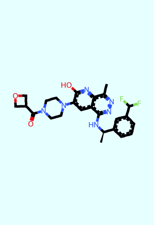 Cc1nnc(N[C@H](C)c2cccc(C(F)F)c2)c2cc(N3CCN(C(=O)C4COC4)CC3)c(O)nc12